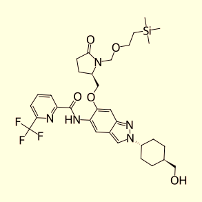 C[Si](C)(C)CCOCN1C(=O)CC[C@@H]1COc1cc2nn([C@H]3CC[C@H](CO)CC3)cc2cc1NC(=O)c1cccc(C(F)(F)F)n1